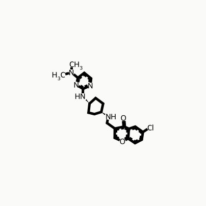 CN(C)c1ccnc(N[C@H]2CC[C@@H](NCc3coc4ccc(Cl)cc4c3=O)CC2)n1